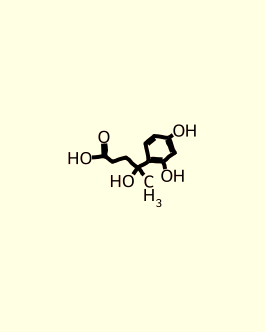 CC(O)(CCC(=O)O)c1ccc(O)cc1O